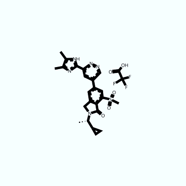 Cc1nc(-c2cc(-c3cc4c(c(S(C)(=O)=O)c3)C(=O)N([C@@H](C)C3CC3)C4)cnn2)[nH]c1C.O=C(O)C(F)(F)F